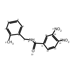 Cc1ccccc1CNC(=O)c1ccc([N+](=O)[O-])c([N+](=O)[O-])c1